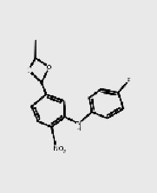 CC1OC(c2ccc([N+](=O)[O-])c(Nc3ccc(F)cc3)c2)O1